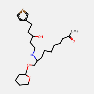 COC(=O)CCCCCCC(COC1CCCCO1)NCCC(O)CCc1ccsc1